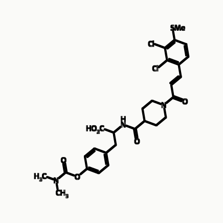 CSc1ccc(C=CC(=O)N2CCC(C(=O)NC(Cc3ccc(OC(=O)N(C)C)cc3)C(=O)O)CC2)c(Cl)c1Cl